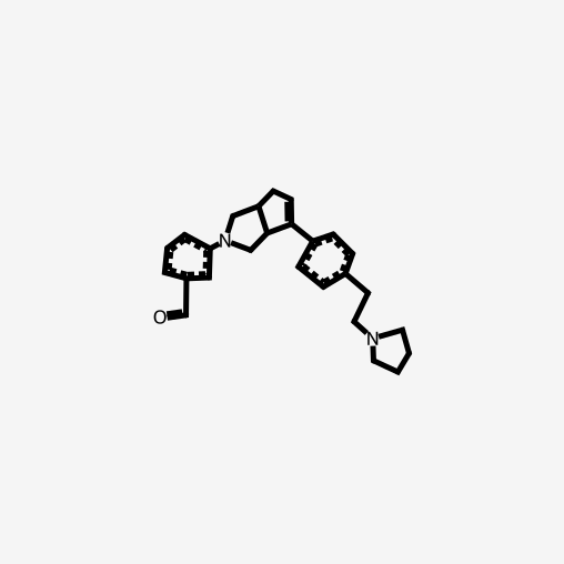 O=Cc1cccc(N2CC3CC=C(c4ccc(CCN5CCCC5)cc4)C3C2)c1